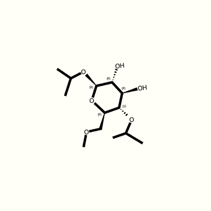 COC[C@H]1O[C@@H](OC(C)C)[C@H](O)[C@@H](O)[C@@H]1OC(C)C